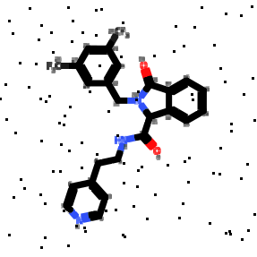 O=C(NCCc1ccncc1)C1c2ccccc2C(=O)N1Cc1cc(C(F)(F)F)cc(C(F)(F)F)c1